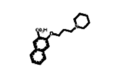 O=C(O)c1cc2ccccc2cc1OCCCN1CCCCC1